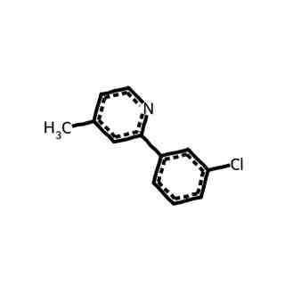 Cc1ccnc(-c2cccc(Cl)c2)c1